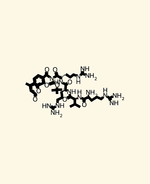 Cc1cc(=O)oc2cc(C(=O)N(C(=O)OC(C)(C)C)C(=O)[C@H](CCCNC(=N)N)NC(=O)[C@H](CCCNC(=N)N)NC(=O)[C@@H](NC(=O)[C@@H](N)CCCNC(=N)N)C(C)C)ccc12